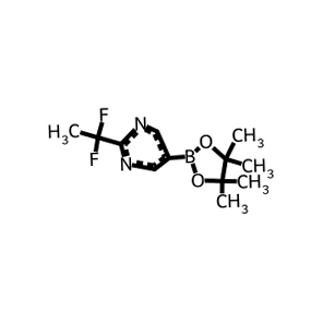 CC(F)(F)c1ncc(B2OC(C)(C)C(C)(C)O2)cn1